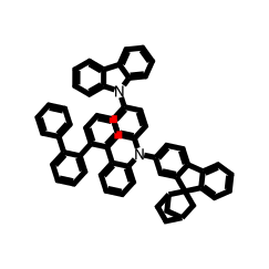 c1ccc(-c2ccccc2-c2ccccc2-c2ccccc2N(c2ccc(-n3c4ccccc4c4ccccc43)cc2)c2ccc3c(c2)C2(CC4CCC2C4)c2ccccc2-3)cc1